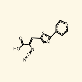 [N-]=[N+]=N/C(=C\c1cnc(-c2ccncc2)s1)C(=O)O